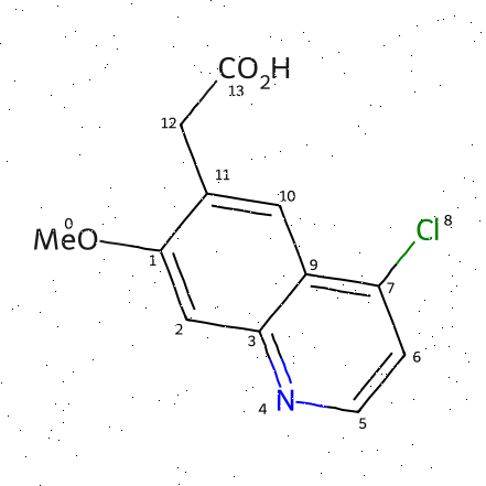 COc1cc2nccc(Cl)c2cc1CC(=O)O